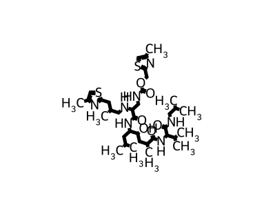 Cc1csc(COC(=O)NCC(NCC(C)Cc2nc(C)cs2)C(=O)NC(CC(C)C)C(O)CC(C)C(=O)NC(C(=O)NCC(C)C)C(C)C)n1